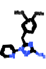 COc1ccc(Cc2nc(N)nn2-c2ccccn2)cc1OC